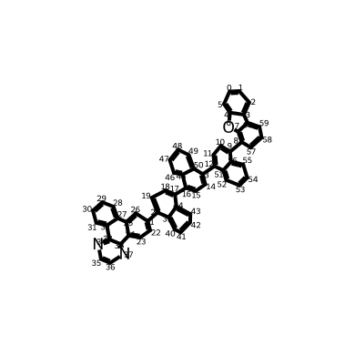 c1ccc2c(c1)oc1c(-c3ccc(-c4ccc(-c5ccc(-c6ccc7c(c6)c6ccccc6c6nccnc76)c6ccccc56)c5ccccc45)c4ccccc34)cccc12